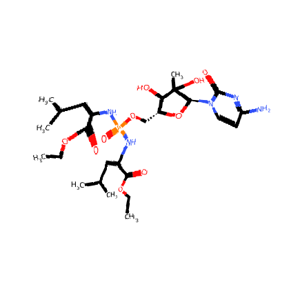 CCOC(=O)C(CC(C)C)NP(=O)(NC(CC(C)C)C(=O)OCC)OC[C@H]1O[C@H](n2ccc(N)nc2=O)C(C)(O)C1O